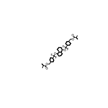 C=C(C)C(=O)OCc1ccc(C(F)(F)Oc2cccc3c(OC(F)(F)c4ccc(COC(=O)C(=C)C)cc4)cccc23)cc1